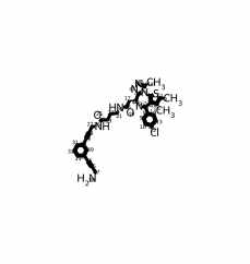 Cc1sc2c(c1C)C(c1ccc(Cl)cc1)=N[C@@H](CC(=O)NCCCC(=O)NCC#Cc1cccc(C#CCN)c1)c1nnc(C)n1-2